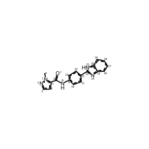 Cn1nccc1C(=O)Nc1ccc(-c2nc3ccccc3[nH]2)cc1